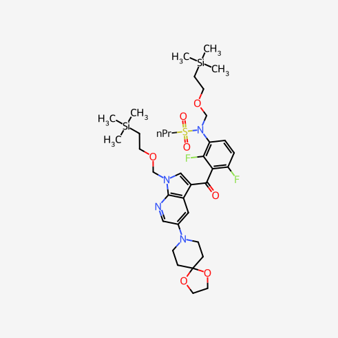 CCCS(=O)(=O)N(COCC[Si](C)(C)C)c1ccc(F)c(C(=O)c2cn(COCC[Si](C)(C)C)c3ncc(N4CCC5(CC4)OCCO5)cc23)c1F